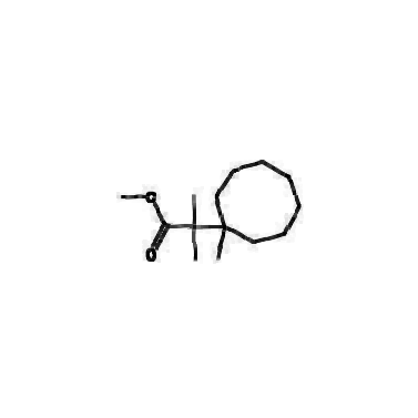 COC(=O)C(C)(C)C1(C)CCCCCCC1